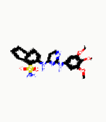 COc1cc(Nc2nccc(Nc3ccc4c(c3S(N)(=O)=O)CCC4)n2)cc(OC)c1OC